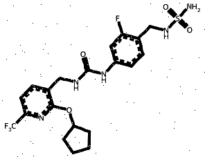 NS(=O)(=O)NCc1ccc(NC(=O)NCc2ccc(C(F)(F)F)nc2OC2CCCC2)cc1F